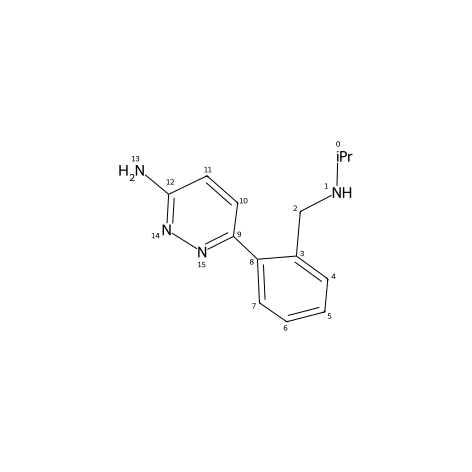 CC(C)NCc1ccccc1-c1ccc(N)nn1